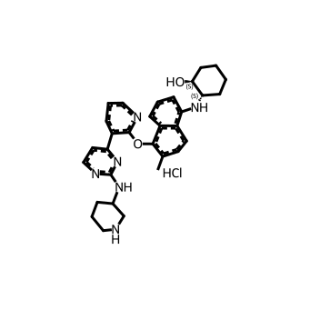 Cc1ccc2c(N[C@H]3CCCC[C@@H]3O)cccc2c1Oc1ncccc1-c1ccnc(NC2CCCNC2)n1.Cl